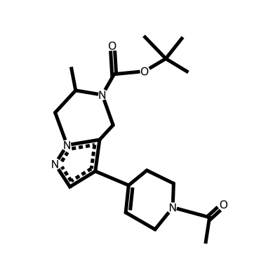 CC(=O)N1CC=C(c2cnn3c2CN(C(=O)OC(C)(C)C)C(C)C3)CC1